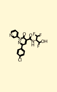 O=C(N[C@@H](C(O)F)C(F)F)c1cc(-c2ccc(Cl)cc2)nn(-c2cccnc2)c1=O